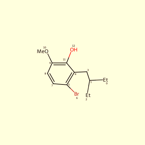 CCC(CC)Cc1c(Br)ccc(OC)c1O